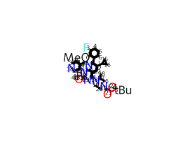 COc1c(F)cccc1-c1nc2c(cc1C1CC1)c(N1CCN(C(=O)OC(C)(C)C)CC1C)nc(=O)n2-c1c(C)ccnc1C(C)C